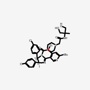 CCOc1cc(C(C)(C)C)ncc1C1=N[C@@](C)(c2ccc(Cl)cc2)[C@@](C)(c2ccc(Cl)cc2)N1C(=O)N1CCN(CC(=O)NC(C)(CO)CO)CC1